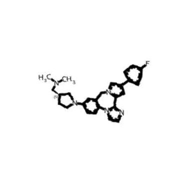 CN(C)C[C@@H]1CCN(c2ccc3c(c2)Cn2cc(-c4ccc(F)cc4)cc2-c2nccn2-3)C1